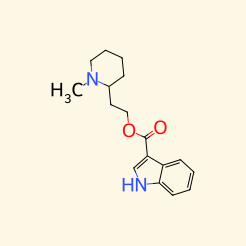 CN1CCCCC1CCOC(=O)c1c[nH]c2ccccc12